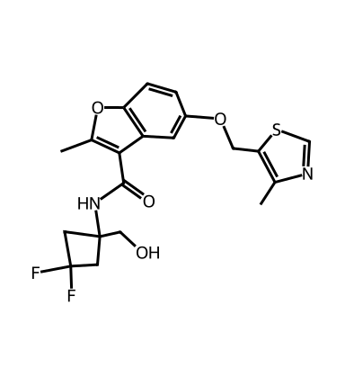 Cc1ncsc1COc1ccc2oc(C)c(C(=O)NC3(CO)CC(F)(F)C3)c2c1